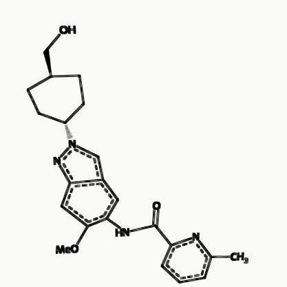 COc1cc2nn([C@H]3CC[C@H](CO)CC3)cc2cc1NC(=O)c1cccc(C)n1